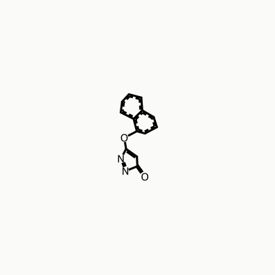 O=C1C=C(Oc2cccc3ccccc23)N=N1